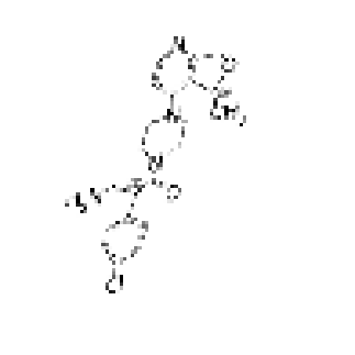 C[C@@H]1OCc2nccc(N3CCN(C(=O)[C@H](CN)c4ccc(Cl)cc4)CC3)c21